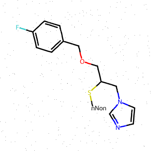 CCCCCCCCCSC(COCc1ccc(F)cc1)Cn1ccnc1